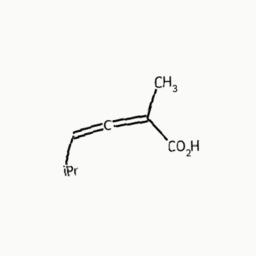 CC(=C=CC(C)C)C(=O)O